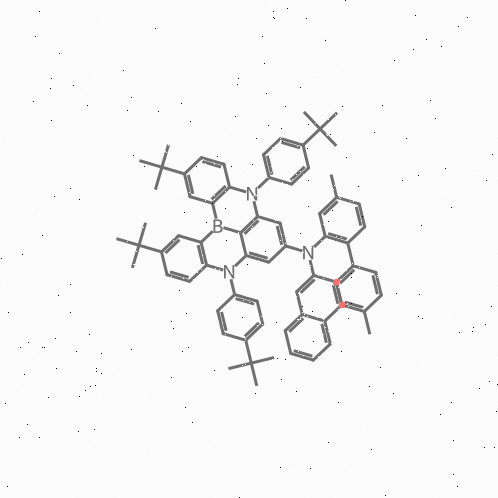 Cc1ccc(-c2ccc(C)cc2N(c2cc3c4c(c2)N(c2ccc(C(C)(C)C)cc2)c2ccc(C(C)(C)C)cc2B4c2cc(C(C)(C)C)ccc2N3c2ccc(C(C)(C)C)cc2)c2ccc3ccccc3c2)cc1